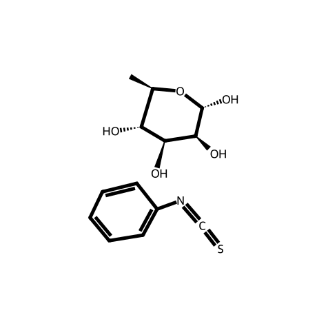 C[C@H]1O[C@H](O)[C@@H](O)[C@@H](O)[C@@H]1O.S=C=Nc1ccccc1